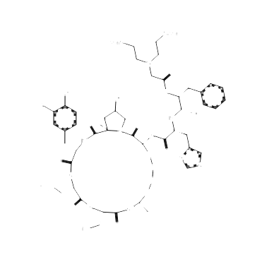 CNCCN(CCNC)CC(=O)N[C@@H](Cc1ccccc1)[C@H](O)N[C@@H](Cc1c[nH]cn1)C(=O)N[C@H]1CSSC[C@@H](C)NC(=O)[C@H](CC(C)C)NC(=O)[C@H](CC(=O)O)NC(=O)[C@H](Cc2ccc(O)c(Cl)c2)NC(=O)[C@@H]2CC(O)CN2C1=O